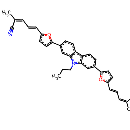 CCCn1c2cc(-c3ccc(/C=C/C=C(/C)C#N)o3)ccc2c2ccc(-c3ccc(/C=C/C=C(/C)C#N)o3)cc21